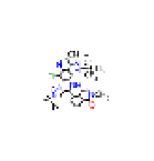 Cn1ccc2c(C(Nc3cc(Cl)c4ncc(C#N)c(NCC(C)(C)C(F)(F)F)c4c3)c3cn(C4(C5CC5)CC4)nn3)cccc2c1=O